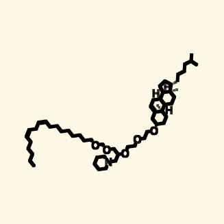 CCCCC/C=C\C/C=C\CCCCCCCCOCOCC(CN1CCCCC1)OCCOCCO[C@H]1CC[C@@]2(C)C(=CC[C@H]3[C@@H]4CC[C@H](CCCCC(C)C)[C@@]4(C)CC[C@@H]32)C1